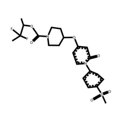 CC(OC(=O)N1CCC(Oc2ccn(-c3ccc(S(C)(=O)=O)cc3)c(=O)c2)CC1)C(C)(F)F